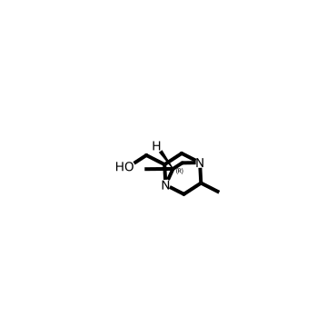 CC1CN2C(CO)CN1C[C@H]2C